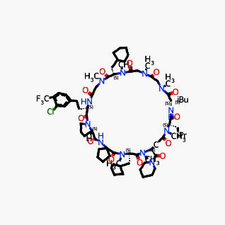 CC[C@H](C)[C@@H]1NC(=O)[C@H](CC(C)C)N(C)C(=O)C[C@@H](C(=O)N2CCCCC2)N(C)C(=O)[C@H](CC2CCCC2)N(C)C(=O)C2(CCCC2)NC(=O)[C@@H]2CCCN2C(=O)[C@H](CCc2ccc(C(F)(F)F)c(Cl)c2)NC(=O)CN(C)C(=O)[C@H](CC2CCCCC2)N(C)C(=O)CN(C)C(=O)CN(C)C1=O